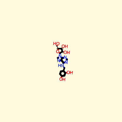 OC[C@H]1OC(n2cnc3c(NCc4ccc(O)cc4O)ncnc32)[C@@H](O)[C@@H]1O